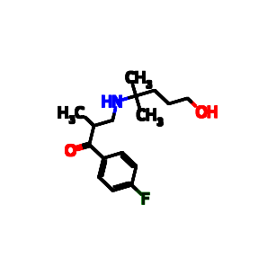 CC(CNC(C)(C)CCCO)C(=O)c1ccc(F)cc1